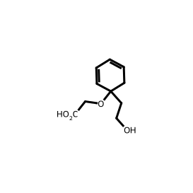 O=C(O)COC1(CCO)C=CC=CC1